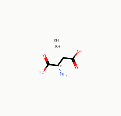 N[C@@H](CC(=O)O)C(=O)O.[KH].[KH]